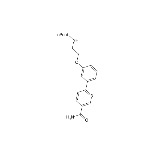 CCCCCNCCOc1cccc(-c2ccc(C(N)=O)cn2)c1